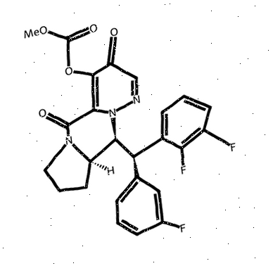 COC(=O)Oc1c2n(ncc1=O)[C@@H]([C@H](c1cccc(F)c1)c1cccc(F)c1F)[C@H]1CCCN1C2=O